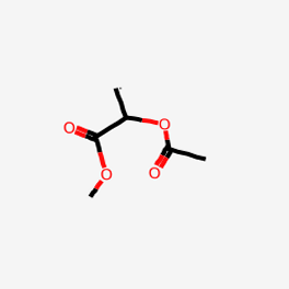 [CH2]C(OC(C)=O)C(=O)OC